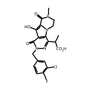 CC(C(=O)O)c1nn(Cc2ccc(F)c(Cl)c2)c(=O)c2c(O)c3n(c12)CCN(C)C3=O